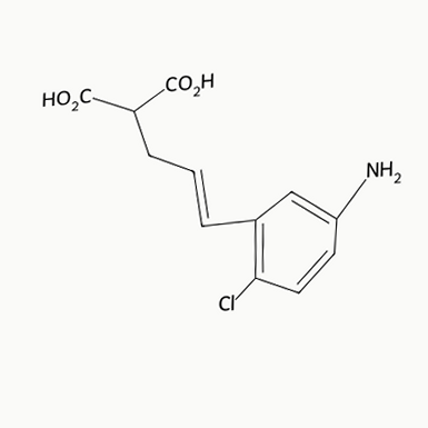 Nc1ccc(Cl)c(/C=C/CC(C(=O)O)C(=O)O)c1